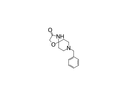 O=C1COC2(CCN(Cc3ccccc3)CC2)N1